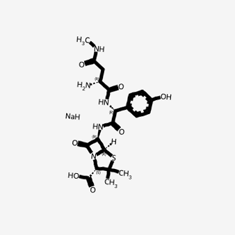 CNC(=O)C[C@@H](N)C(=O)N[C@@H](C(=O)N[C@@H]1C(=O)N2[C@@H]1SC(C)(C)[C@@H]2C(=O)O)c1ccc(O)cc1.[NaH]